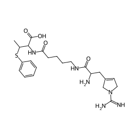 CC(Sc1ccccc1)C(NC(=O)CCCCNC(=O)C(N)CC1=CCN(C(=N)N)C1)C(=O)O